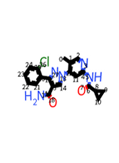 Cc1cnc(NC(=O)C2CC2)cc1-n1cc(C(N)=O)c(-c2ccccc2Cl)n1